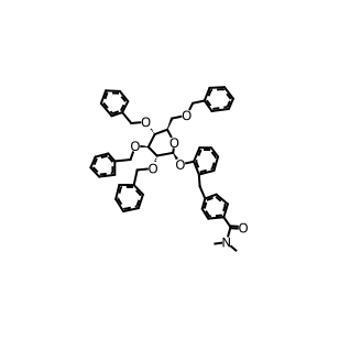 CN(C)C(=O)c1ccc(Cc2ccccc2O[C@@H]2O[C@H](COCc3ccccc3)[C@@H](OCc3ccccc3)[C@H](OCc3ccccc3)[C@H]2OCc2ccccc2)cc1